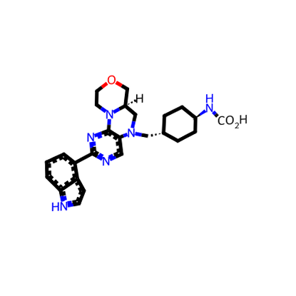 O=C(O)N[C@H]1CC[C@H](CN2C[C@@H]3COCCN3c3nc(-c4cccc5[nH]ccc45)ncc32)CC1